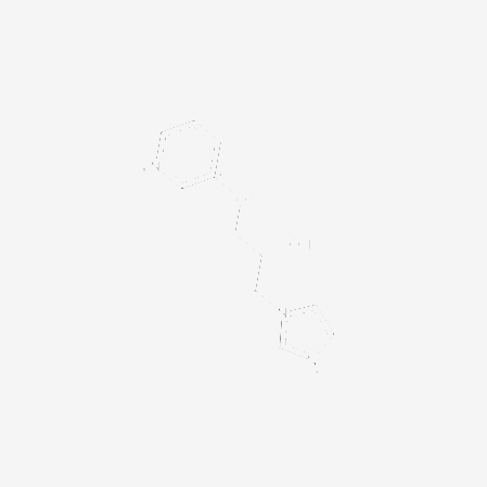 O[C@@H](COc1cccnc1)Cn1ccnc1